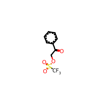 O=C(COS(=O)(=O)C(F)(F)F)c1ccccc1